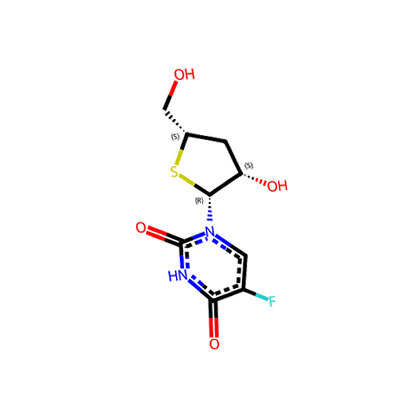 O=c1[nH]c(=O)n([C@@H]2S[C@H](CO)C[C@@H]2O)cc1F